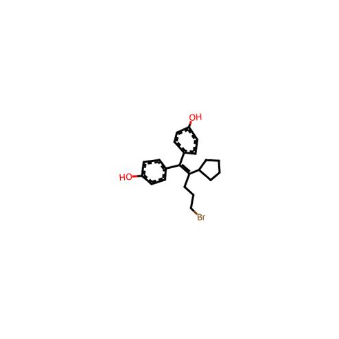 Oc1ccc(C(=C(CCCBr)C2CCCC2)c2ccc(O)cc2)cc1